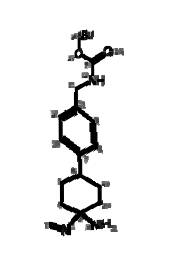 C=NC1(N)CCC(c2ccc(CNC(=O)OC(C)(C)C)cc2)CC1